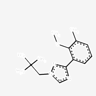 COc1c(C)cccc1-c1ncn(CC(C)(C)O)n1